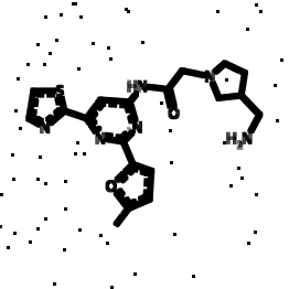 Cc1ccc(-c2nc(NC(=O)CN3CCC(CN)C3)cc(-c3nccs3)n2)o1